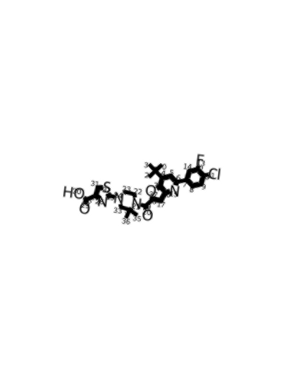 CC(C)(C)c1cc(-c2ccc(Cl)c(F)c2)nc2cc(C(=O)N3CCN(c4nc(C(=O)O)cs4)CC3(C)C)oc12